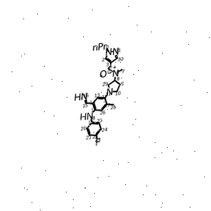 CCCn1cc([S+]([O-])N(C)C2CCN(c3cc(C=N)c(Nc4ccc(F)cc4)cc3C)C2)cn1